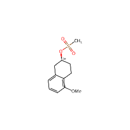 COc1cccc2c1CC[C@H](OS(C)(=O)=O)C2